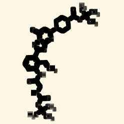 C=Cc1c(NC(=O)CNC(=O)OC(C)(C)C)cccc1-c1nn2c(=O)cc(N3CCN(C(=O)OC(C)(C)C)CC3)nc2s1